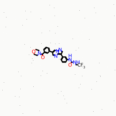 O=C(NCC(F)(F)F)Nc1cccc(-c2cnn3cc(-c4cccc(C(=O)N5CCOCC5)c4)cnc23)c1